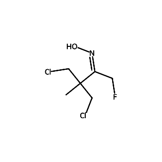 CC(CCl)(CCl)/C(CF)=N\O